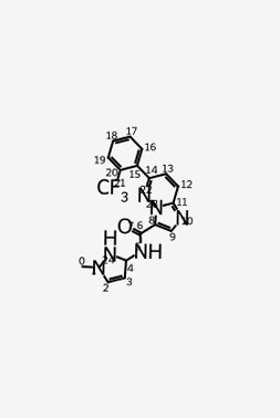 CN1C=CC(NC(=O)c2cnc3ccc(-c4ccccc4C(F)(F)F)nn23)N1